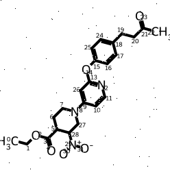 CCOC(=O)C1CCN(c2ccnc(Oc3ccc(CCC(C)=O)cc3)c2)CC1[N+](=O)[O-]